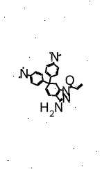 C=CC(=O)n1nc(N)c2c1CC(c1ccc(N(C)C)cc1)(c1ccc(N(C)C)cc1)C=C2